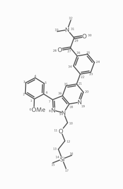 COc1ccccc1-c1nn(COCC[Si](C)(C)C)c2ncc(-c3cccc(C(=O)C(=O)N(C)C)c3)cc12